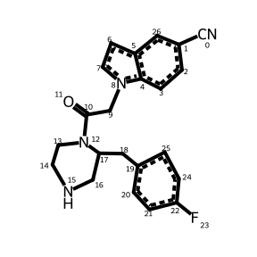 N#Cc1ccc2c(ccn2CC(=O)N2CCNCC2Cc2ccc(F)cc2)c1